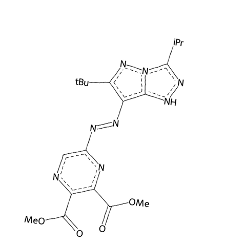 COC(=O)c1ncc(N=Nc2c(C(C)(C)C)nn3c(C(C)C)n[nH]c23)nc1C(=O)OC